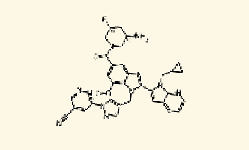 COc1cc(C(=O)N2C[C@H](N)C[C@@H](F)C2)cc2nc(-c3cc4cccnc4n3CC3CC3)n(Cc3cnn(-c4cncc(C#N)c4)c3)c12